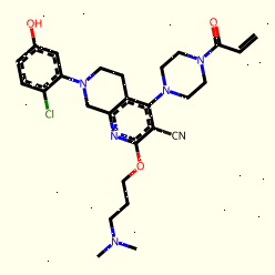 C=CC(=O)N1CCN(c2c(C#N)c(OCCCN(C)C)nc3c2CCN(c2cc(O)ccc2Cl)C3)CC1